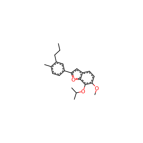 CCCc1cc(-c2cc3ccc(OC)c(OC(C)C)c3o2)ccc1C